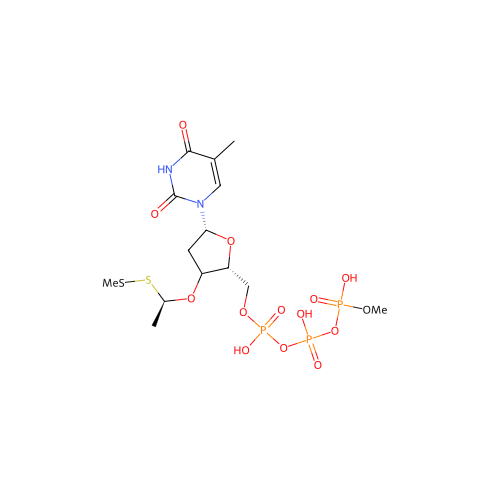 COP(=O)(O)OP(=O)(O)OP(=O)(O)OC[C@H]1O[C@@H](n2cc(C)c(=O)[nH]c2=O)CC1O[C@@H](C)SSC